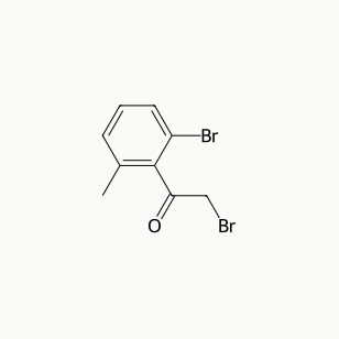 Cc1cccc(Br)c1C(=O)CBr